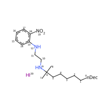 CCCCCCCCCCCCCCCC(C)(C)NCCNc1ccccc1[N+](=O)[O-].I